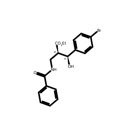 CCOC(=O)[C@H](CNC(=O)c1ccccc1)[C@H](O)c1ccc(Br)cc1